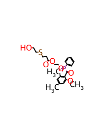 COc1cc(C)cc(C)c1C(=O)P(OCCOC(=O)CCSCCO)c1ccccc1